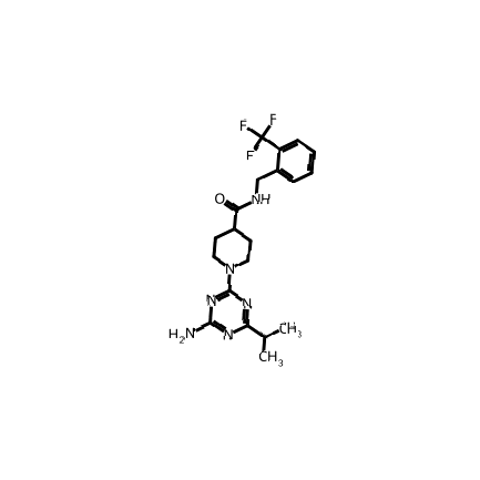 CC(C)c1nc(N)nc(N2CCC(C(=O)NCc3ccccc3C(F)(F)F)CC2)n1